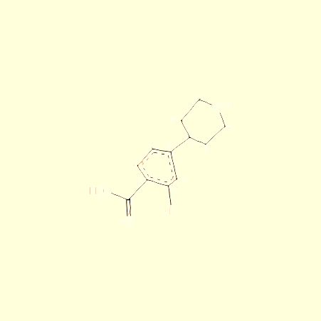 CC(=O)c1ccc(C2CCOCC2)cc1F